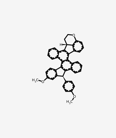 COc1ccc([C@H]2c3cc(OC)ccc3-c3c2c2ccccc2c2c4c(c5ccccc5c32)[C@@H]2CCOc3cccc-4c32)cc1